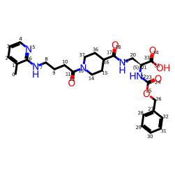 Cc1cccnc1NCCCC(=O)N1CCC(C(=O)NC[C@H](NC(=O)OCc2ccccc2)C(=O)O)CC1